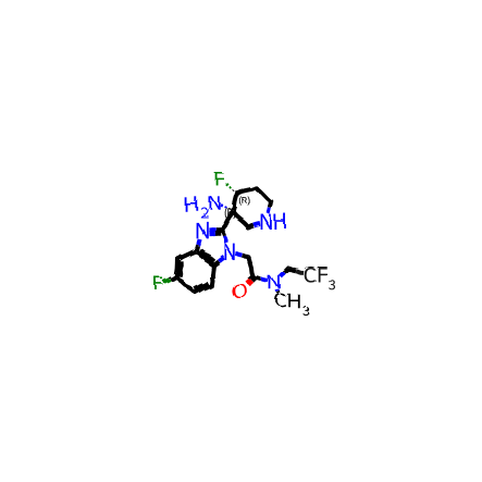 CN(CC(F)(F)F)C(=O)Cn1c([C@]2(N)CNCC[C@H]2F)nc2cc(F)ccc21